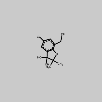 CC1(C)Oc2c(CO)cc(Cl)cc2C1(O)O